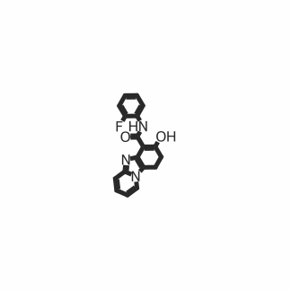 O=C(Nc1ccccc1F)C1=C(O)CCc2c1nc1ccccn21